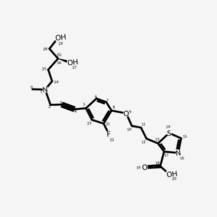 CN(CC#Cc1ccc(OCCCc2scnc2C(=O)O)c(F)c1)CC[C@H](O)CO